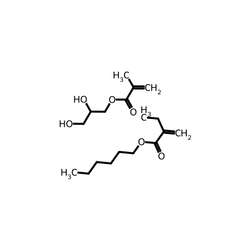 C=C(C)C(=O)OCC(O)CO.C=C(CC)C(=O)OCCCCCC